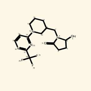 O=C1CCC(O)N1CC1CCCN(c2ccnc(C(F)(F)F)n2)C1